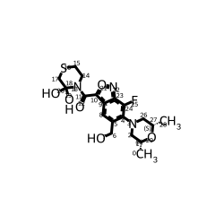 C[C@@H]1CN(c2c(CO)cc3c(C(=O)N4CCSCC4(O)O)onc3c2F)C[C@H](C)O1